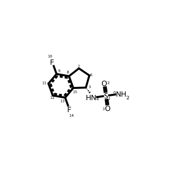 NS(=O)(=O)N[C@H]1CCc2c(F)ccc(F)c21